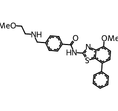 COCCNCc1ccc(C(=O)Nc2nc3c(OC)ccc(-c4ccccc4)c3s2)cc1